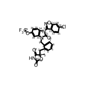 C[C@@]1(Cc2ccccc2Cn2c(=O)n(-c3noc4cc(Cl)ccc34)c3ccc(OC(F)(F)F)cc32)OC(=O)NC1=O